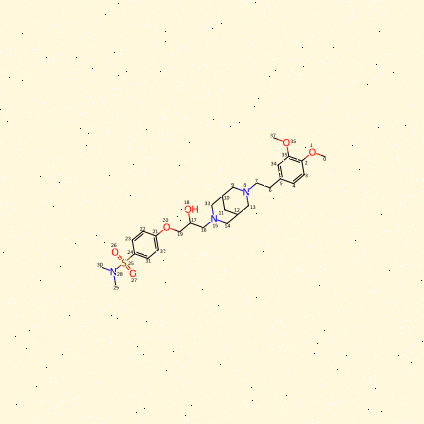 COc1ccc(CCN2CC3CC(C2)CN(CC(O)COc2ccc(S(=O)(=O)N(C)C)cc2)C3)cc1OC